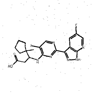 CC1(C(CC(=O)O)Nc2nc(-c3n[nH]c4ncc(F)cc34)ncc2I)CCCC1